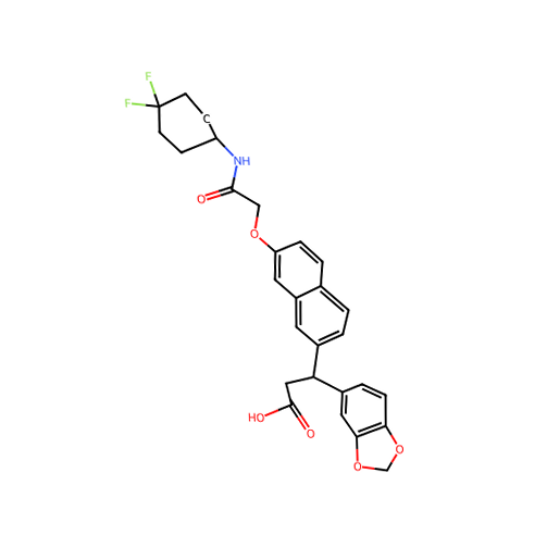 O=C(O)CC(c1ccc2c(c1)OCO2)c1ccc2ccc(OCC(=O)NC3CCC(F)(F)CC3)cc2c1